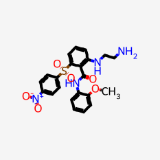 COc1ccccc1NC(=O)c1c(NCCN)cccc1S(=O)(=O)c1ccc([N+](=O)[O-])cc1